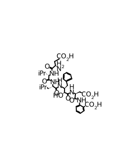 CC(C)C[C@H](NC(=O)[C@@H](NC(=O)[C@@H](N)CCC(=O)O)C(C)C)C(=O)N[C@@H](Cc1ccccc1)[C@@H](O)C(=O)N[C@@H](CC(=O)O)C(=O)Nc1ccccc1C(=O)O